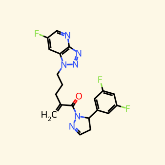 C=C(CCCn1nnc2ncc(F)cc21)C(=O)N1N=CCC1c1cc(F)cc(F)c1